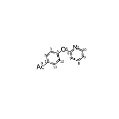 CC(=O)c1ccc(Oc2ccccn2)cc1